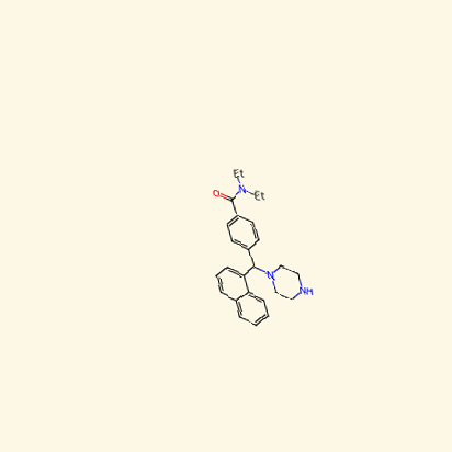 CCN(CC)C(=O)c1ccc(C(c2cccc3ccccc23)N2CCNCC2)cc1